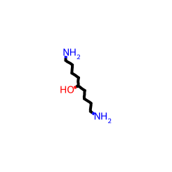 NCCCCC(O)CCCCN